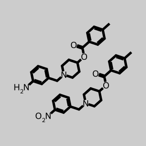 Cc1ccc(C(=O)OC2CCN(Cc3cccc(N)c3)CC2)cc1.Cc1ccc(C(=O)OC2CCN(Cc3cccc([N+](=O)[O-])c3)CC2)cc1